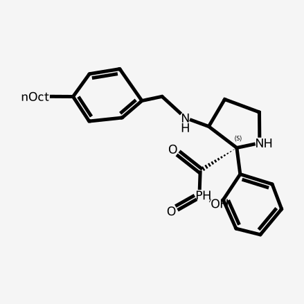 CCCCCCCCc1ccc(CNC2CCN[C@@]2(C(=O)[PH](=O)O)c2ccccc2)cc1